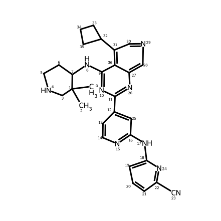 CC1(C)CNCCC1Nc1nc(-c2ccnc(Nc3cccc(C#N)n3)c2)nc2cncc(C3CCC3)c12